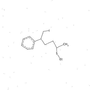 CCSC(C)CCC(CI)c1ccccc1